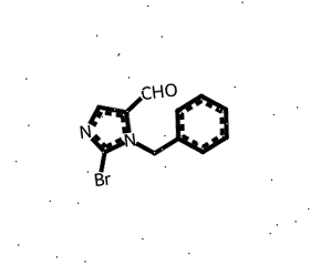 O=Cc1cnc(Br)n1Cc1ccccc1